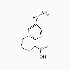 NNc1ccc2c(c1)CCCC2C(=O)O